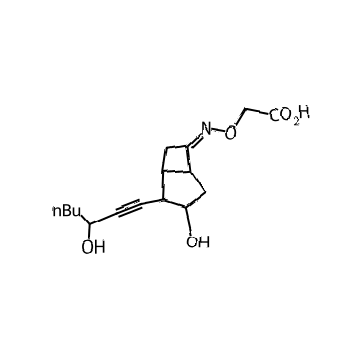 CCCCC(O)C#CC1C(O)CC2C(=NOCC(=O)O)CC21